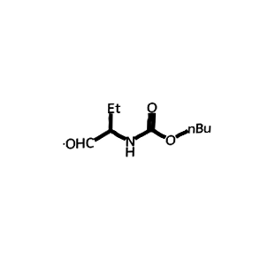 CCCCOC(=O)NC([C]=O)CC